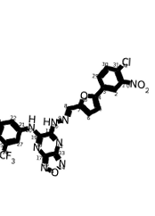 O=[N+]([O-])c1cc(-c2ccc(C=NNc3nc4nonc4nc3Nc3cccc(C(F)(F)F)c3)o2)ccc1Cl